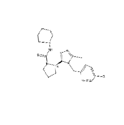 Cc1nnc([C@H]2CCCN2C(=O)NC2CCCCC2)n1Cc1ccc(Cl)cc1